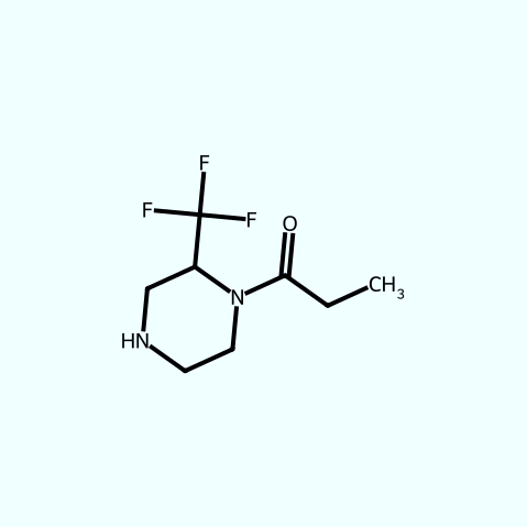 CCC(=O)N1CCNCC1C(F)(F)F